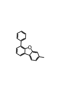 Cc1ccc2c(c1)oc1c(-c3ccccc3)cccc12